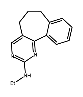 CCNc1ncc2c(n1)-c1ccccc1CCC2